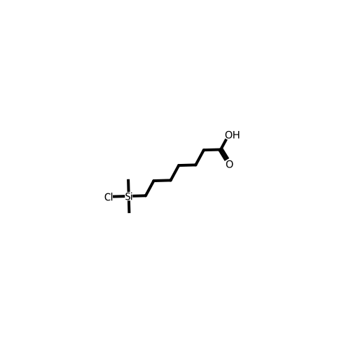 C[Si](C)(Cl)CCCCCCC(=O)O